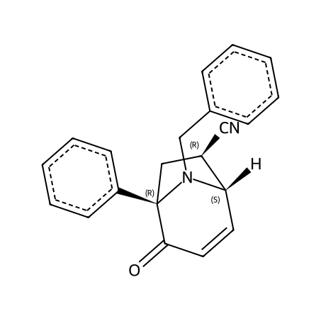 N#C[C@@H]1C[C@@]2(c3ccccc3)C(=O)C=C[C@@H]1N2Cc1ccccc1